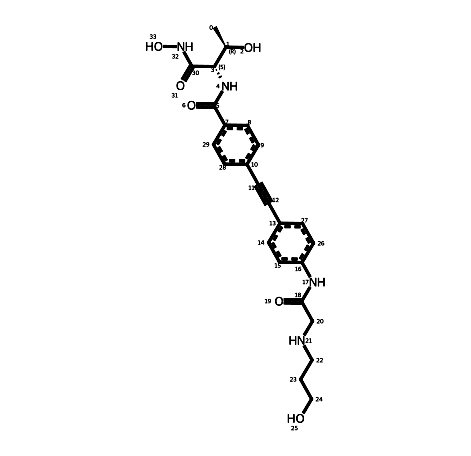 C[C@@H](O)[C@H](NC(=O)c1ccc(C#Cc2ccc(NC(=O)CNCCCO)cc2)cc1)C(=O)NO